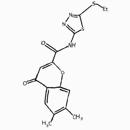 CCSc1nnc(NC(=O)c2cc(=O)c3cc(C)c(C)cc3o2)s1